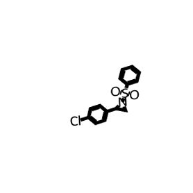 O=S(=O)(c1ccccc1)N1CC1c1ccc(Cl)cc1